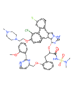 COc1ccccc1-c1nccc(COc2ccccc2CC(Oc2ncnn3cc4c5ccc(F)cc5c5c(Cl)c(OCCN6CCN(C)CC6)ccc5c4c23)C(=O)NS(=O)(=O)N(C)C)n1